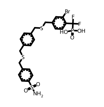 NS(=O)(=O)c1ccc(CSCc2ccc(CSCc3ccc(C(F)(F)P(=O)(O)O)c(Br)c3)cc2)cc1